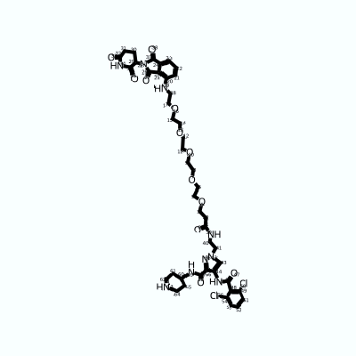 O=C(CCOCCOCCOCCOCCOCCNc1cccc2c1C(=O)N(C1CCC(=O)NC1=O)C2=O)NCCn1cc(NC(=O)c2c(Cl)cccc2Cl)c(C(=O)NC2CCNCC2)n1